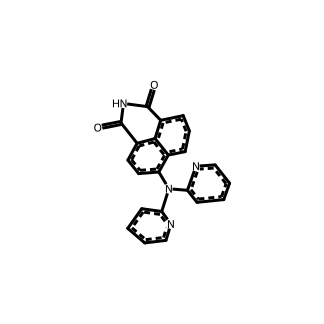 O=C1NC(=O)c2ccc(N(c3ccccn3)c3ccccn3)c3cccc1c23